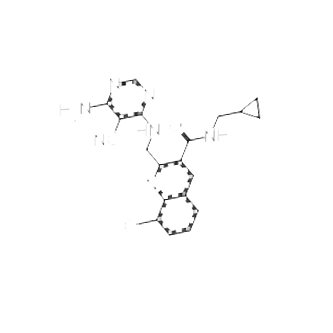 N#Cc1c(N)ncnc1NCc1nc2c(Cl)cccc2cc1C(=O)NCC1CC1